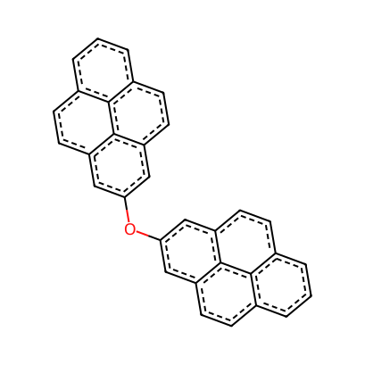 c1cc2ccc3cc(Oc4cc5ccc6cccc7ccc(c4)c5c67)cc4ccc(c1)c2c34